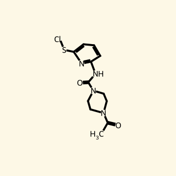 CC(=O)N1CCN(C(=O)Nc2cccc(SCl)n2)CC1